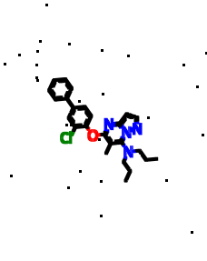 CCCN(CCC)c1c(C)c(Oc2ccc(-c3ccccc3)cc2Cl)nc2ccnn12